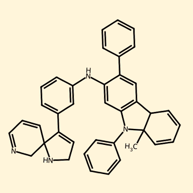 CC12C=CC=CC1c1cc(-c3ccccc3)c(Nc3cccc(C4=CCNC45C=CC=NC5)c3)cc1N2c1ccccc1